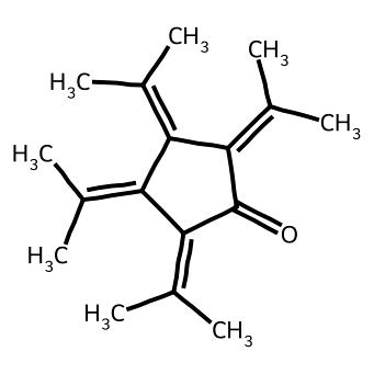 CC(C)=C1C(=O)C(=C(C)C)C(=C(C)C)C1=C(C)C